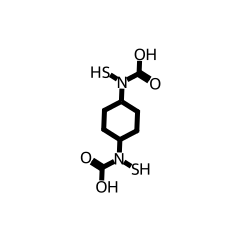 O=C(O)N(S)C1CCC(N(S)C(=O)O)CC1